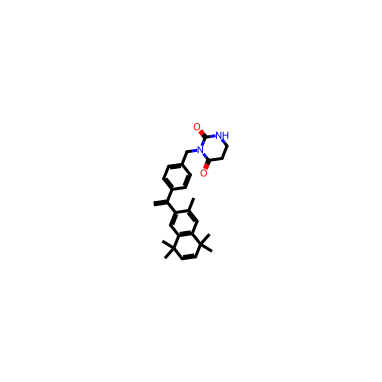 C=C(c1ccc(CN2C(=O)CCNC2=O)cc1)c1cc2c(cc1C)C(C)(C)C=CC2(C)C